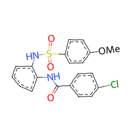 COc1ccc(S(=O)(=O)Nc2ccccc2NC(=O)c2ccc(Cl)cc2)cc1